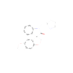 O=C1N(C[C@@H]2CCCN2)c2ccccc2C12COc1cc3c(cc12)OCO3